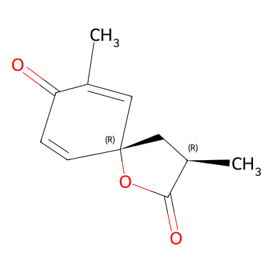 CC1=C[C@]2(C=CC1=O)C[C@@H](C)C(=O)O2